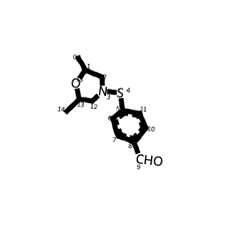 CC1CN(Sc2ccc(C=O)cc2)CC(C)O1